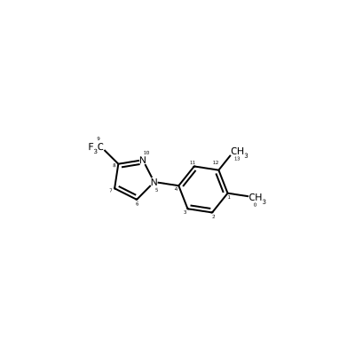 Cc1ccc(-n2ccc(C(F)(F)F)n2)cc1C